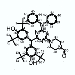 CC(C)(C)c1cc(C(c2cc(C(C)(C)C)c(O)c(C(C)(C)C)c2)c2nc(N3CCN(C=O)CC3)nc(N(c3ccccc3)c3ccccc3)n2)cc(C(C)(C)C)c1O